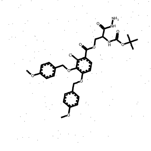 COc1ccc(COc2ccc(C(=O)OCC(NC(=O)OC(C)(C)C)C(=O)NN)c(Cl)c2OCc2ccc(OC)cc2)cc1